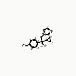 OC(Cn1ccnc1)(c1ccc(Cl)cc1)C1CC1